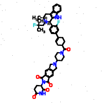 C[C@@H]1Cc2c([nH]c3ccccc23)[C@@H](c2ccc(C3=CCC(C(=O)N4CCC(N5Cc6cc7c(cc6C5)C(=O)N(C5CCC(=O)NC5=O)C7=O)CC4)CC3)cc2F)N1CC(C)(C)F